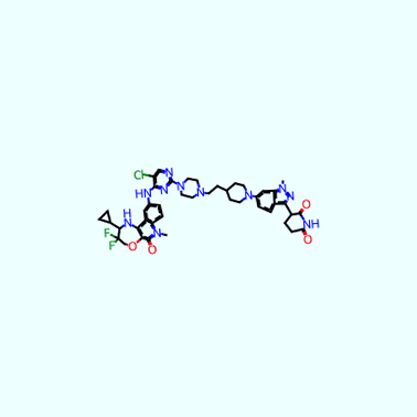 Cn1nc(C2CCC(=O)NC2=O)c2ccc(N3CCC(CCN4CCN(c5ncc(Cl)c(Nc6ccc7c(c6)c6c(c(=O)n7C)OCC(F)(F)C(C7CC7)N6)n5)CC4)CC3)cc21